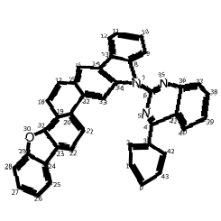 c1ccc(-c2nc(-n3c4ccccc4c4cc5ccc6c(ccc7c8ccccc8oc76)c5cc43)nc3ccccc23)cc1